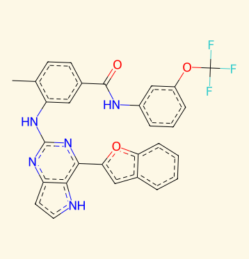 Cc1ccc(C(=O)Nc2cccc(OC(F)(F)F)c2)cc1Nc1nc(-c2cc3ccccc3o2)c2[nH]ccc2n1